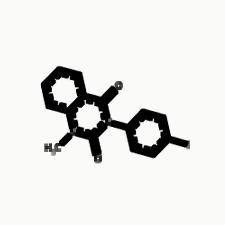 Cn1c(=O)n(-c2ccc(I)cc2)c(=O)c2ccccc21